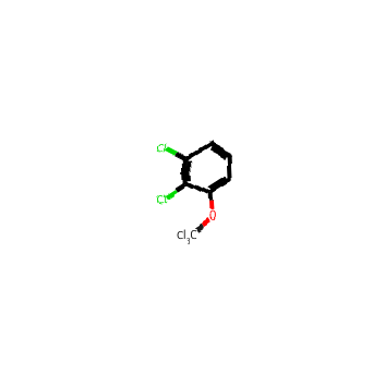 Clc1cccc(OC(Cl)(Cl)Cl)c1Cl